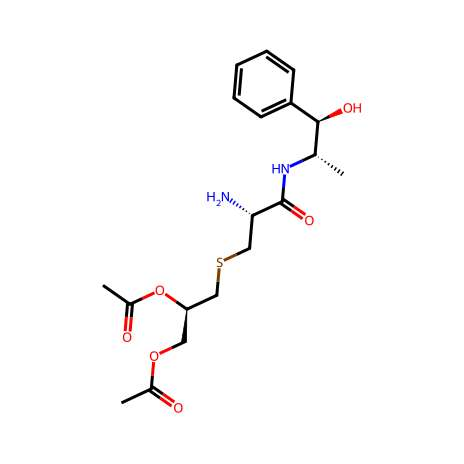 CC(=O)OC[C@H](CSC[C@H](N)C(=O)N[C@@H](C)[C@H](O)c1ccccc1)OC(C)=O